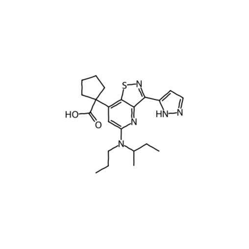 CCCN(c1cc(C2(C(=O)O)CCCC2)c2snc(-c3ccn[nH]3)c2n1)C(C)CC